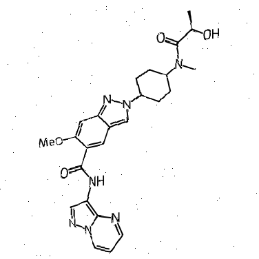 COc1cc2nn(C3CCC(N(C)C(=O)[C@@H](C)O)CC3)cc2cc1C(=O)Nc1cnn2cccnc12